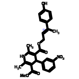 COC(=O)C1=C(C)NC(C)=C(C(=O)OC/C=C(\C)c2ccc(O)cc2)C1c1cccc([N+](=O)[O-])c1